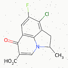 CC1Cc2c(Cl)c(F)cc3c(=O)c(C(=O)O)cn1c23